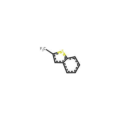 FC(F)(F)c1cc2ccccc2s1